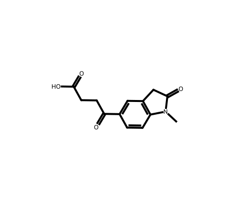 CN1C(=O)Cc2cc(C(=O)CCC(=O)O)ccc21